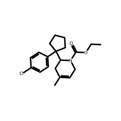 CCOC(=O)N1CC=C(C)CC1C1(c2ccc(Cl)cc2)CCCC1